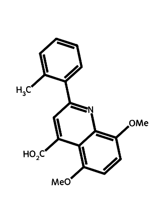 COc1ccc(OC)c2c(C(=O)O)cc(-c3ccccc3C)nc12